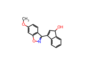 COc1ccc2c(C3=CC(O)c4ccccc43)noc2c1